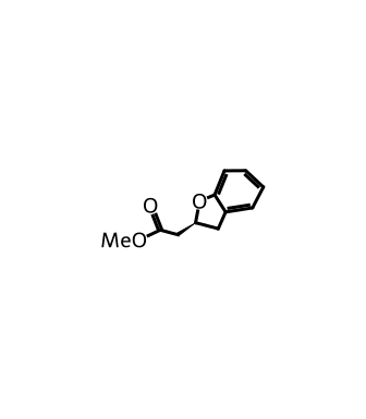 COC(=O)C[C@@H]1Cc2ccccc2O1